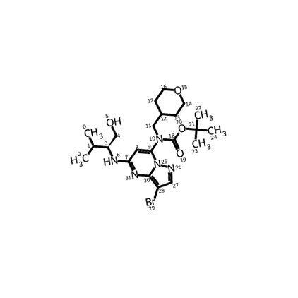 CC(C)[C@@H](CO)Nc1cc(N(CC2CCOCC2)C(=O)OC(C)(C)C)n2ncc(Br)c2n1